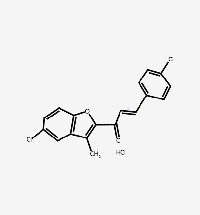 Cc1c(C(=O)/C=C/c2ccc(Cl)cc2)oc2ccc(Cl)cc12.Cl